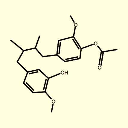 COc1ccc(CC(C)C(C)Cc2ccc(OC(C)=O)c(OC)c2)cc1O